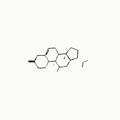 CC(O)[C@H]1CC[C@H]2[C@@H]3CC=C4CC(=O)CC[C@]4(C)[C@H]3C(O)C[C@]12C